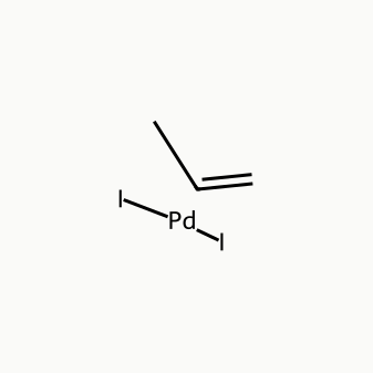 C=CC.[I][Pd][I]